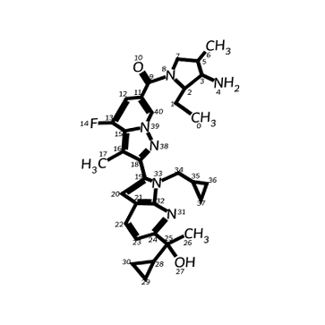 CCC1C(N)C(C)CN1C(=O)c1cc(F)c2c(C)c(-c3cc4ccc(C(C)(O)C5CC5)nc4n3CC3CC3)nn2c1